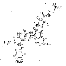 CCN(CC)CCNC(=O)c1c(C)[nH]c(/C=C2\C(=O)N(C(=O)NS(=O)(=O)NC(CCN)C(=O)NCc3ccc(OC)cc3)c3ccc(F)cc32)c1C